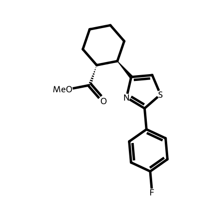 COC(=O)[C@@H]1CCCC[C@H]1c1csc(-c2ccc(F)cc2)n1